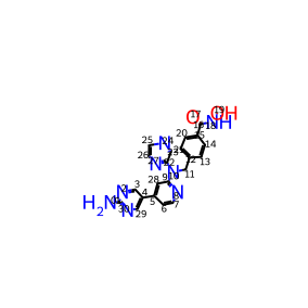 Nc1ncc(-c2ccnc(N(Cc3ccc(C(=O)NO)cc3)c3cnccn3)c2)cn1